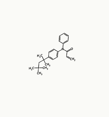 C=CC(=O)N(c1ccccc1)c1ccc(C(C)(C)CC(C)(C)C)cc1